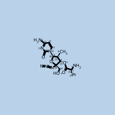 CC(C)[C@H](N)C(=O)O[C@H]1[C@H](C)[C@H](n2ccc(N)nc2=O)O[C@@]1(CO)N=[N+]=[N-]